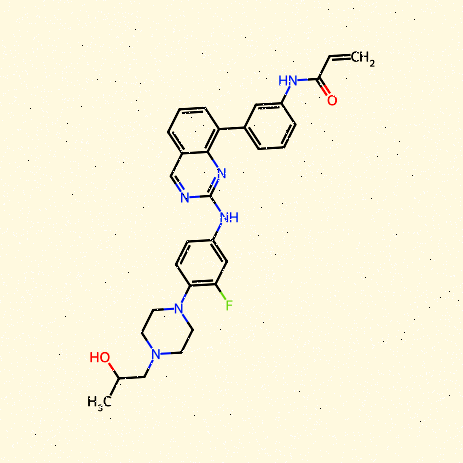 C=CC(=O)Nc1cccc(-c2cccc3cnc(Nc4ccc(N5CCN(CC(C)O)CC5)c(F)c4)nc23)c1